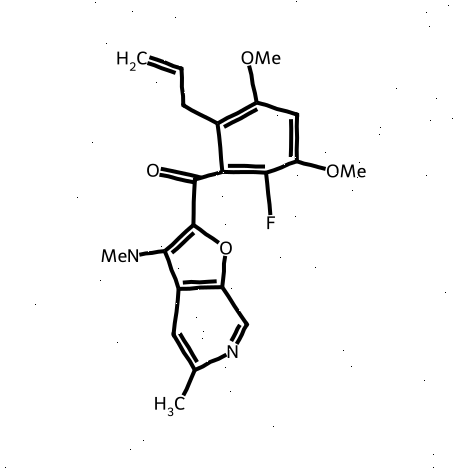 C=CCc1c(OC)cc(OC)c(F)c1C(=O)c1oc2cnc(C)cc2c1NC